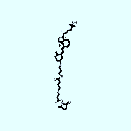 C=C1CC[C@H](OCCCNC(=O)CCCOCCC(=O)ON2C(=O)CCC2=O)C/C1=C/C=C1\CCC[C@]2(C)[C@@H]([C@H](C)CCCC(C)(C)O)CC[C@@H]12